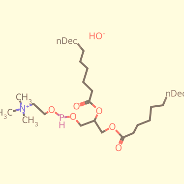 CCCCCCCCCCCCCCCC(=O)OCC(COPOCC[N+](C)(C)C)OC(=O)CCCCCCCCCCCCCCC.[OH-]